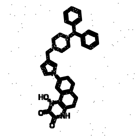 O=c1[nH]c2c(n(O)c1=O)C1=C(CCC(n3ccc(CN4CCN(C(c5ccccc5)c5ccccc5)CC4)c3)=C1)CC2